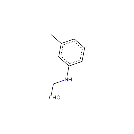 Cc1cccc(NC[C]=O)c1